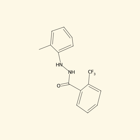 Cc1ccccc1NNC(=O)c1ccccc1C(F)(F)F